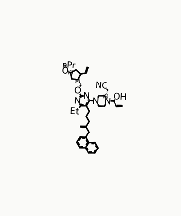 C=CC1C[C@H](OCCC)C[C@H]1COc1nc(CC)c(CCCC(=C)Cc2cccc3ccccc23)c(N2CCN(C(O)C=C)[C@@H](CC#N)C2)n1